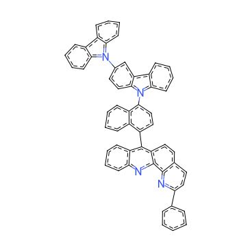 c1ccc(-c2ccc3ccc4c(-c5ccc(-n6c7ccccc7c7cc(-n8c9ccccc9c9ccccc98)ccc76)c6ccccc56)c5ccccc5nc4c3n2)cc1